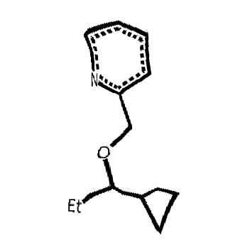 CCC(OCc1ccccn1)C1CC1